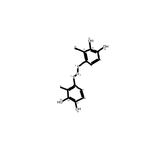 Cc1c(SOSc2ccc(O)c(O)c2C)ccc(O)c1O